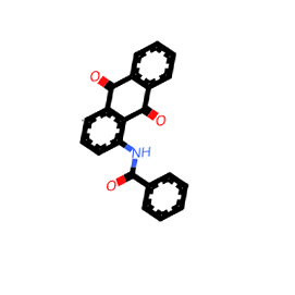 O=C(Nc1cc[c]c2c1C(=O)c1ccccc1C2=O)c1ccccc1